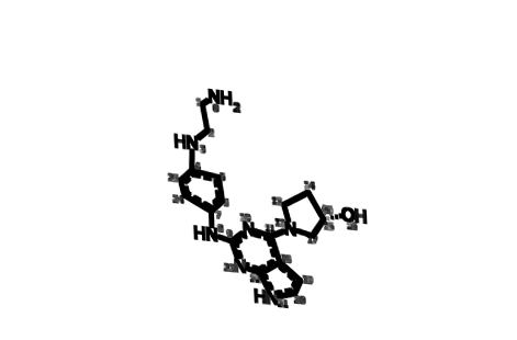 NCCNc1ccc(Nc2nc(N3CC[C@H](O)C3)c3cc[nH]c3n2)cc1